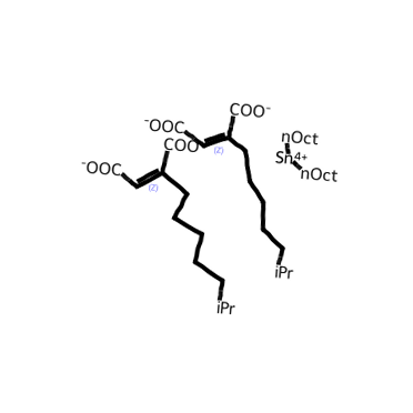 CC(C)CCCCC/C(=C/C(=O)[O-])C(=O)[O-].CC(C)CCCCC/C(=C/C(=O)[O-])C(=O)[O-].CCCCCCC[CH2][Sn+4][CH2]CCCCCCC